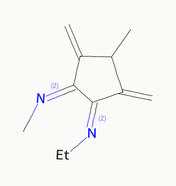 C=C1C(=N/C)/C(=N\CC)C(=C)C1C